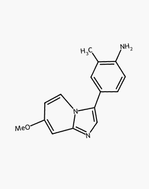 COc1ccn2c(-c3ccc(N)c(C)c3)cnc2c1